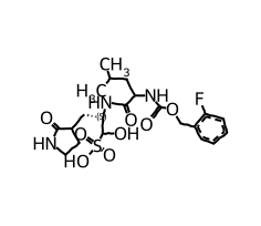 CC(C)CC(NC(=O)OCc1ccccc1F)C(=O)N[C@@H](CC1CCNC1=O)C(O)S(=O)(=O)O